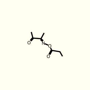 CCC(=O)O/N=C(\C)C(C)=O